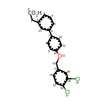 O=C(O)Cc1cccc(-c2ccc(OCc3ccc(Cl)c(Cl)c3)cc2)c1